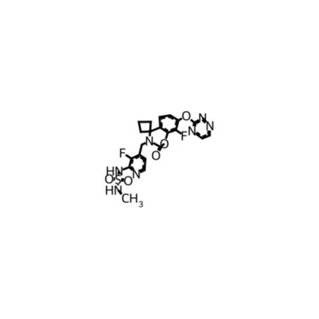 CNS(=O)(=O)Nc1nccc(CN2C(=O)Oc3c(ccc(Oc4nccnn4)c3F)C23CCC3)c1F